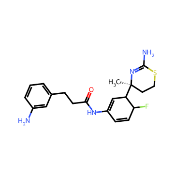 C[C@@]1(C2C=C(NC(=O)CCc3cccc(N)c3)C=CC2F)CCSC(N)=N1